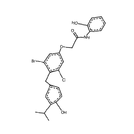 CC(C)c1cc(Cc2c(Cl)cc(OCC(=O)Nc3ccccc3O)cc2Br)ccc1O